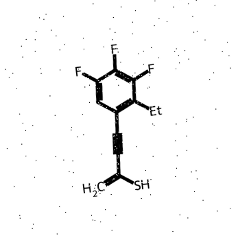 C=C(S)C#Cc1cc(F)c(F)c(F)c1CC